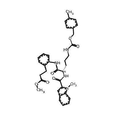 COC(=O)CCc1ccccc1NC(=O)[C@H](CCCNC(=O)OCc1ccc(C)cc1)NC(=O)c1cc2ccccc2n1C